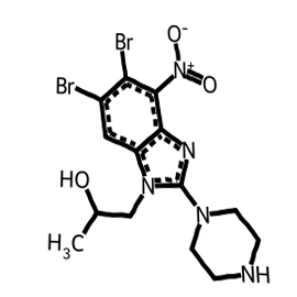 CC(O)Cn1c(N2CCNCC2)nc2c([N+](=O)[O-])c(Br)c(Br)cc21